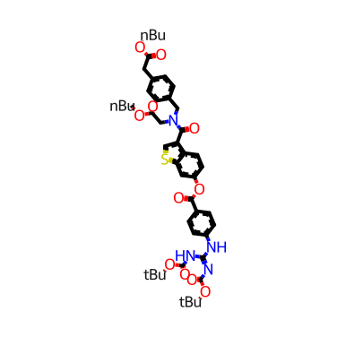 CCCCOC(=O)Cc1ccc(CN(CC(=O)OCCCC)C(=O)c2csc3cc(OC(=O)c4ccc(N/C(=N/C(=O)OC(C)(C)C)NC(=O)OC(C)(C)C)cc4)ccc23)cc1